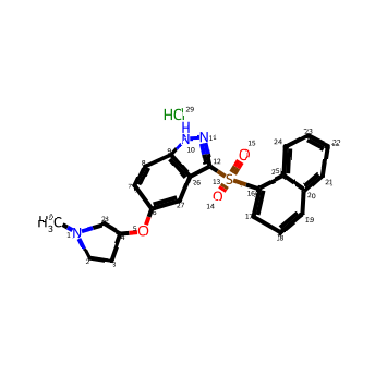 CN1CCC(Oc2ccc3[nH]nc(S(=O)(=O)c4cccc5ccccc45)c3c2)C1.Cl